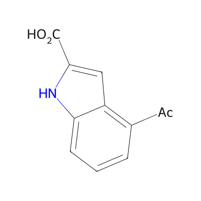 CC(=O)c1cccc2[nH]c(C(=O)O)cc12